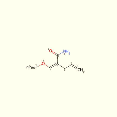 C=CCC(=COCCCCC)C(N)=O